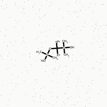 CCCC(CC)(O[Si](C)(C)O)[Si](C)(C)O